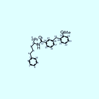 CCCC(CCCc1ccccc1)NC(=O)c1cccc(Cc2ccccc2OC)c1